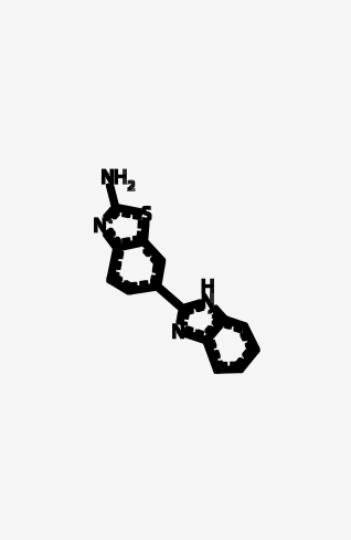 Nc1nc2ccc(-c3nc4ccccc4[nH]3)cc2s1